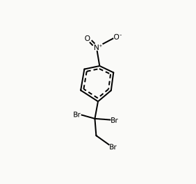 O=[N+]([O-])c1ccc(C(Br)(Br)CBr)cc1